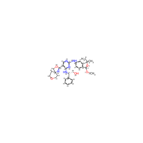 COB1OC(C)(C)c2cc(Nc3ncc(C4=NC5(CCOCC5)CO4)c(N[C@H](CO)c4ccccc4)n3)ccc21